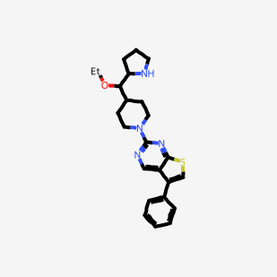 CCOC(C1CCN(c2ncc3c(-c4ccccc4)csc3n2)CC1)C1CCCN1